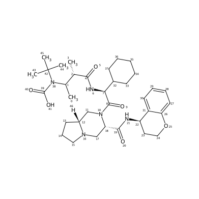 CC([C@H](C)C(=O)N[C@H](C(=O)N1C[C@H]2CCCN2C[C@H]1C(=O)N[C@@H]1CCOc2ccccc21)C1CCCCC1)N(C(=O)O)C(C)(C)C